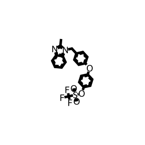 Cc1nc2ccccc2n1Cc1ccc(Oc2ccc(OS(=O)(=O)C(F)(F)F)cc2)cc1